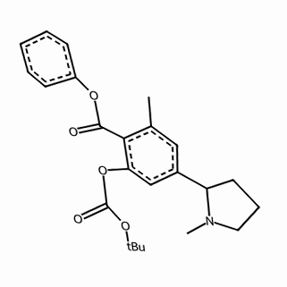 Cc1cc(C2CCCN2C)cc(OC(=O)OC(C)(C)C)c1C(=O)Oc1ccccc1